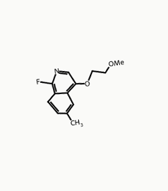 COCCOc1cnc(F)c2ccc(C)cc12